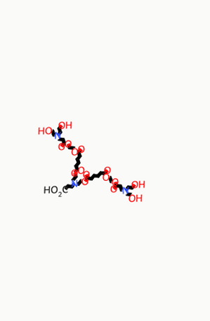 O=C(O)CCN(CCOC(=O)CCCCC(=O)OCCOC(=O)CCN(CCO)CCO)CCOC(=O)CCCCC(=O)OCCOC(=O)CCN(CCO)CCO